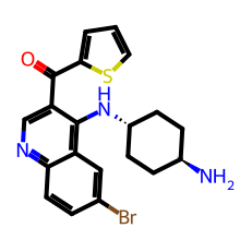 N[C@H]1CC[C@H](Nc2c(C(=O)c3cccs3)cnc3ccc(Br)cc23)CC1